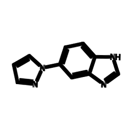 c1cnn(-c2ccc3[nH]cnc3c2)c1